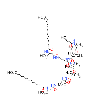 C#CCCC(=O)NC(C)(C)CCOC(C)(C)CCC(=O)N[C@@H](CCCCNC(=O)CCC(NC(=O)CCCCCCCCCCCCCCC(=O)O)C(=O)O)C(=O)NC(C)(C)CCOC(C)(C)CCC(=O)N[C@@H](CCCCNC(=O)CCC(NC(=O)CCCCCCCCCCCCCCC(=O)O)C(=O)O)C(=O)OC